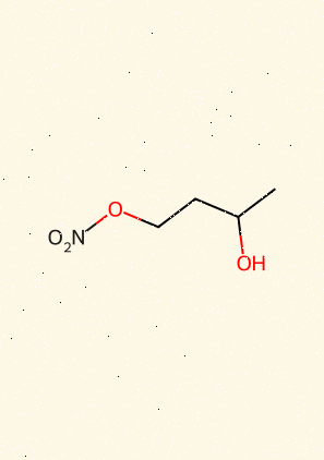 CC(O)CCO[N+](=O)[O-]